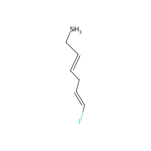 FC=CCC=CC[SiH3]